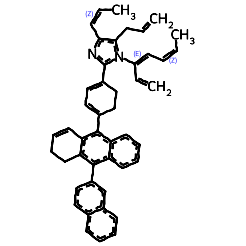 C=CCc1c(/C=C\C)nc(C2=CC=C(c3c4c(c(-c5ccc6ccccc6c5)c5ccccc35)CCC=C4)CC2)n1/C(C=C)=C/C=C\C